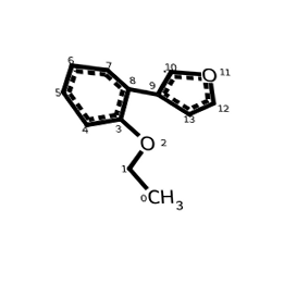 CCOc1ccccc1-c1[c]occ1